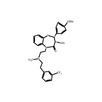 COc1ccc([C@@H]2Sc3ccccc3N(CCN(C)CCc3cccc(C(F)(F)F)c3)C(=O)[C@@H]2OC(C)=O)cc1